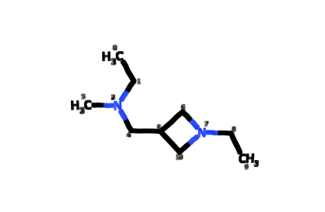 CCN(C)CC1CN(CC)C1